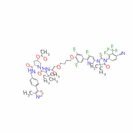 CC(=O)O[C@@H]1C[C@@H](C(=O)NCc2ccc(-c3scnc3C)cc2)N(C(=O)[C@@H](NC(=O)COCCCCOc2c(F)cc(-c3ncc(N4C(=S)N(c5ccc(C#N)c(C(F)(F)F)c5F)C(=O)C4(C)C)cc3F)cc2F)C(C)(C)C)C1